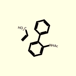 C=CC(=O)O.CC(=O)Nc1ccccc1-c1ccccc1